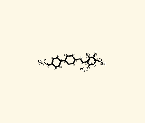 C=CC1CCC(C2CCC(CCc3c(C)cc(OCC)c(F)c3F)CC2)CC1